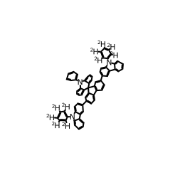 [2H]c1c([2H])c([2H])c(-n2c3ccccc3c3cc(-c4ccc5c(c4)C4(c6cc(-c7ccc8c(c7)c7ccccc7n8-c7c([2H])c([2H])c([2H])c([2H])c7[2H])ccc6-5)c5ccccc5N(c5ccccc5)c5ccccc54)ccc32)c([2H])c1[2H]